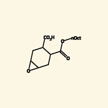 CCCCCCCCOC(=O)C1CC2OC2CC1C(=O)O